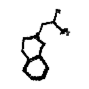 CCC(N)CN1CCc2ccccc2C1